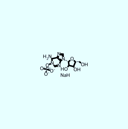 NC1c2ncn([C@@H]3O[C@H](CO)C(O)C3O)c2N=CN1O[I+3]([O-])([O-])[O-].[NaH]